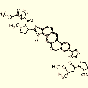 CC[C@H](NC(=O)OC)C(=O)N1[C@@H](C)CC[C@H]1c1nc2ccc3cc4c(cc3c2[nH]1)OCc1cc(-c2cnc([C@@H]3CC[C@H](C)N3C(=O)C[C@@H](C)OC)[nH]2)ccc1-4